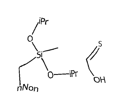 CCCCCCCCCC[Si](C)(OC(C)C)OC(C)C.OC=S